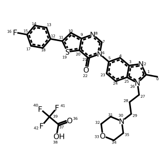 Cc1nc2cc(-n3cnc4cc(-c5ccc(F)cc5)sc4c3=O)ccc2n1CCCN1CCOCC1.O=C(O)C(F)(F)F